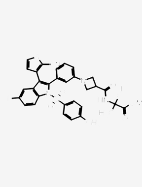 COC(=O)C(C)(C)NC(=O)C1CN(c2cccc(-c3c(-c4ccsc4C#N)c4cc(F)ccc4n3S(=O)(=O)c3ccc(C)cc3)c2)C1